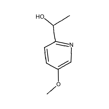 COc1ccc(C(C)O)nc1